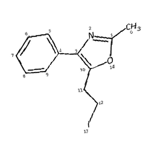 Cc1nc(-c2ccccc2)c(CCI)o1